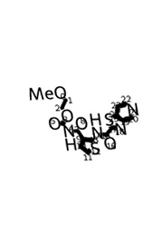 COCCOC(=O)NC(=O)c1ccsc1NC(=O)c1nc2cnccc2s1